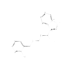 CC(NCCCc1ccccc1N)c1csc2ccccc12